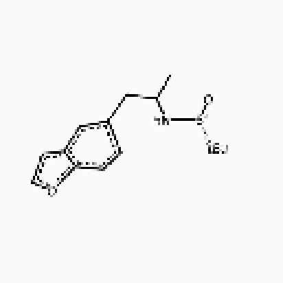 CC(Cc1ccc2occc2c1)N[S@+]([O-])C(C)(C)C